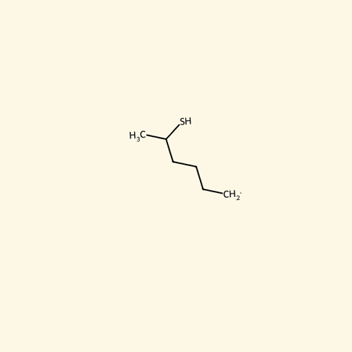 [CH2]CCCC(C)S